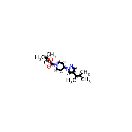 CC(C)C(C)c1cnn(C2CCN(C(=O)OC(C)(C)C)CC2)c1